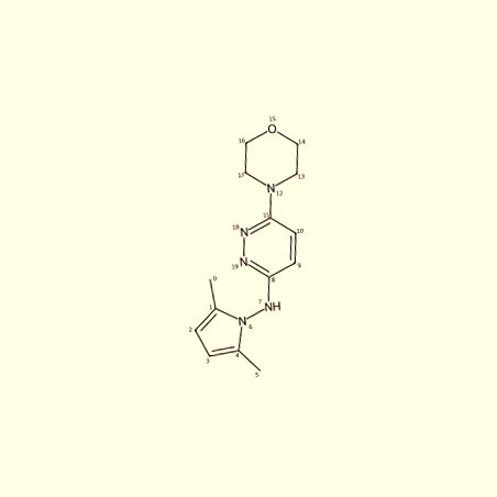 Cc1ccc(C)n1Nc1ccc(N2CCOCC2)nn1